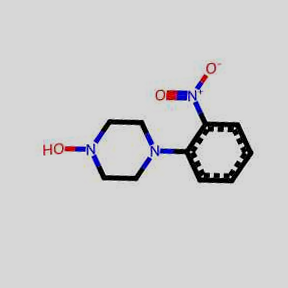 O=[N+]([O-])c1ccccc1N1CCN(O)CC1